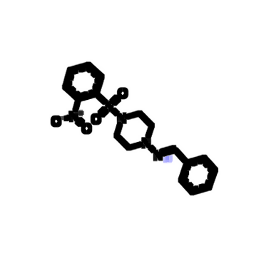 O=[N+]([O-])c1ccccc1S(=O)(=O)N1CCN(/N=C/c2ccccc2)CC1